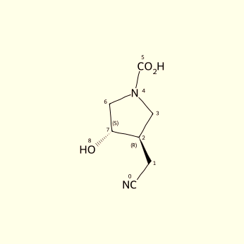 N#CC[C@@H]1CN(C(=O)O)C[C@H]1O